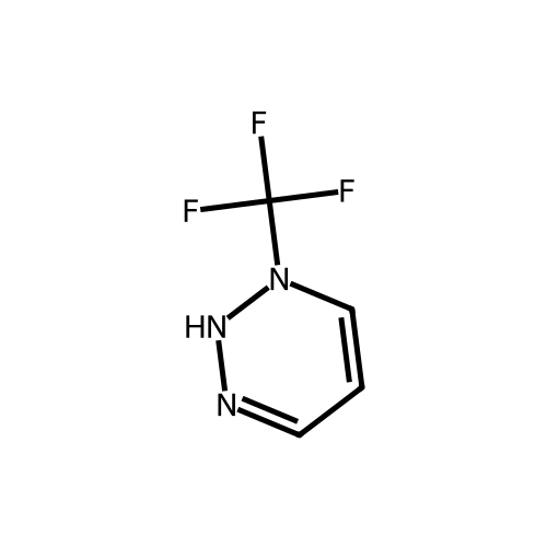 FC(F)(F)N1C=CC=NN1